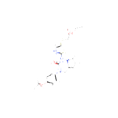 CCOC(=O)CSc1cnc(NC(=O)N(CC2CCCC2)c2ccc(OC(C)C)cc2)s1